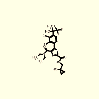 CCN(CC)C(=O)c1nc(C(=O)NCC2(O)CC2)sc1-c1ccc(C(C)(O)C(F)(F)F)c(Cl)c1Cl